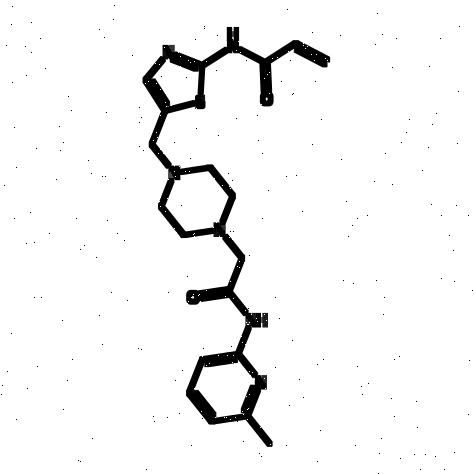 C=CC(=O)Nc1ncc(CN2CCN(CC(=O)Nc3cccc(C)n3)CC2)s1